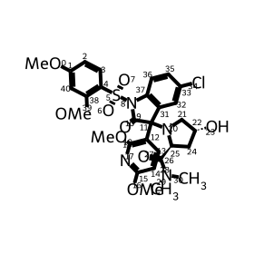 COc1ccc(S(=O)(=O)N2C(=O)C(c3ccc(OC)nc3OC)(N3C[C@H](O)C[C@H]3C(=O)N(C)C)c3cc(Cl)ccc32)c(OC)c1